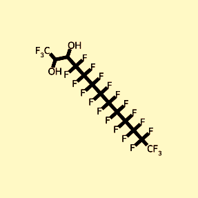 OC(C(O)C(F)(F)C(F)(F)C(F)(F)C(F)(F)C(F)(F)C(F)(F)C(F)(F)C(F)(F)C(F)(F)C(F)(F)F)C(F)(F)F